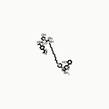 Cc1ncsc1-c1ccc(C(C)NC(=O)[C@@H]2C[C@@H](O)CN2C(=O)C(NCCCCCCCCCCCCCN2CCC(n3nc(N)c4nnc(-c5ccccc5O)cc43)CC2)C(C)(C)C)cc1